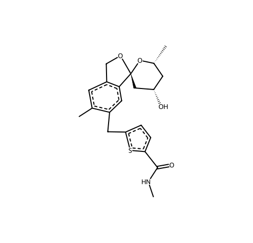 CNC(=O)c1ccc(Cc2cc3c(cc2C)CO[C@@]32C[C@@H](O)C[C@@H](C)O2)s1